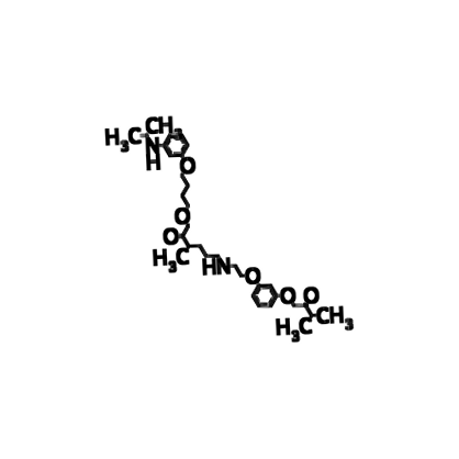 CC(C)Nc1cccc(OCCCCOCC(=O)C(C)CCCNCCOc2cccc(OCC(=O)C(C)C)c2)c1